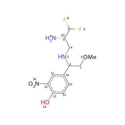 COCC(NC[C@H](N)C(F)F)c1ccc(O)c([N+](=O)[O-])c1